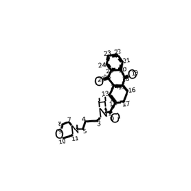 O=C(NCCCN1CCOCC1)C1=CC2=C(CC1)C(=O)c1ccccc1C2=O